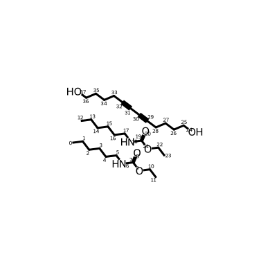 CCCCCCNC(=O)OCC.CCCCCCNC(=O)OCC.OCCCCC#CC#CCCCCO